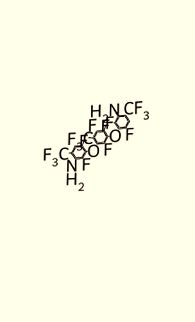 Nc1c(C(F)(F)F)cc(F)c(Oc2c(F)c(F)c(C(F)(F)F)c(Oc3c(F)cc(C(F)(F)F)c(N)c3F)c2F)c1F